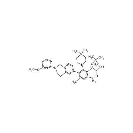 COc1ccnc(N2CCc3cc(-c4c(C)nc(C)c([C@H](OC(C)(C)C)C(=O)O)c4N4CCC(C)(C)CC4)ccc3C2)n1